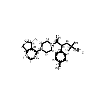 C[C@H]1SCc2ncnc(N3CCN(C(=O)C(CC(C)(C)N)c4ccc(F)cc4)CC3)c21